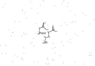 C=C(C)CC(C)CCC.C=C(C)CCCC(C)C